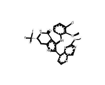 COc1ncc2nccc(-c3[nH]c4c(c3Nc3cccc(Cl)c3OC)C(=O)N[C@@H](C(F)(F)F)C4)c2n1